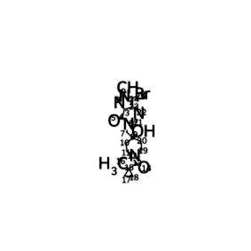 Cn1nc2c(=O)n(CC3(O)CCN(C(=O)C4(C)CC4)CC3)cnc2c1Br